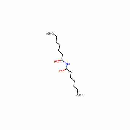 CCCCCCCCCCCCCCCC(O)NC(O)CCCCCCCCCCCCCCC